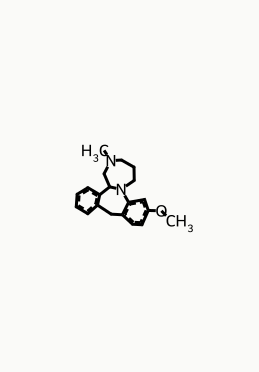 COc1ccc2c(c1)N1CCCN(C)CC1c1ccccc1C2